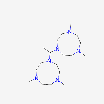 CC(N1CCN(C)CCN(C)CC1)N1CCN(C)CCN(C)CC1